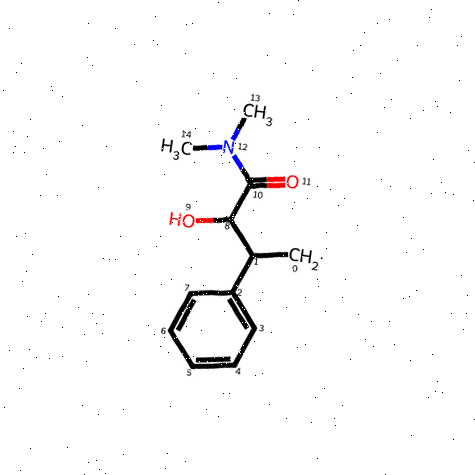 [CH2]C(c1ccccc1)C(O)C(=O)N(C)C